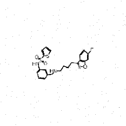 O=S(=O)(Nc1cccc(CNCCCCc2noc3cc(F)ccc23)c1)c1cccs1